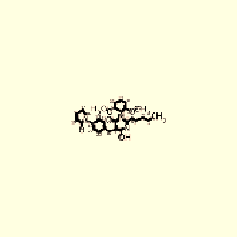 CCCCCc1nc(O)c(Cc2ccc(-n3ccccc3=O)cc2)c(=O)n1-c1c(OC)cccc1OC